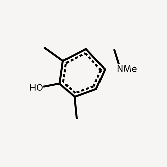 CNC.Cc1cccc(C)c1O